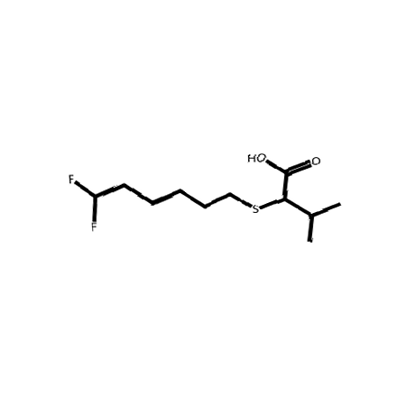 CC(C)C(SCCCCCC(F)F)C(=O)O